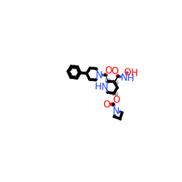 O=C(NO)[C@H]1C[C@H](OC(=O)N2CCC2)CN[C@@H]1C(=O)N1CCC(c2ccccc2)CC1